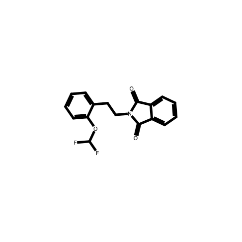 O=C1c2ccccc2C(=O)N1CCc1ccccc1OC(F)F